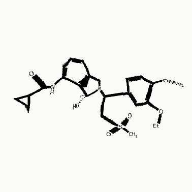 CCOc1cc(C(CS(C)(=O)=O)N2Cc3cccc(NC(=O)C4CC4)c3[C@H]2O)ccc1OC